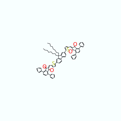 CCCCCCCCC1(CCCCCCCC)c2cc(-c3ccc(C=C4C(=O)c5c(-c6ccccc6)ccc(-c6ccccc6)c5C4=O)s3)ccc2-c2ccc(-c3ccc(C=C4C(=O)c5c(-c6ccccc6)ccc(-c6ccccc6)c5C4=O)s3)cc21